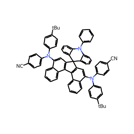 CC(C)(C)c1ccc(N(c2ccc(C#N)cc2)c2cc3c(c4ccccc24)-c2c(cc(N(c4ccc(C#N)cc4)c4ccc(C(C)(C)C)cc4)c4ccccc24)C32c3ccccc3N(c3ccccc3)c3ccccc32)cc1